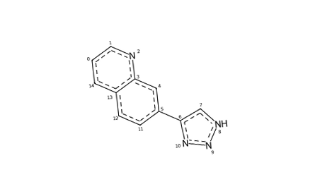 c1cnc2cc(-c3c[nH]nn3)ccc2c1